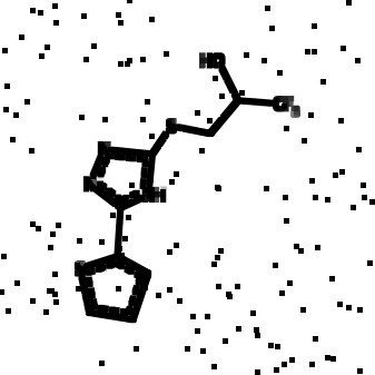 OC(CSc1nnc(-c2cccs2)[nH]1)C(F)(F)F